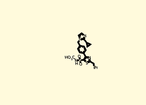 CC(C)Cc1nc(-c2ccc(Cn3ccnc3C3CC3)cc2)c(S(=O)(=O)NC(=O)O)s1